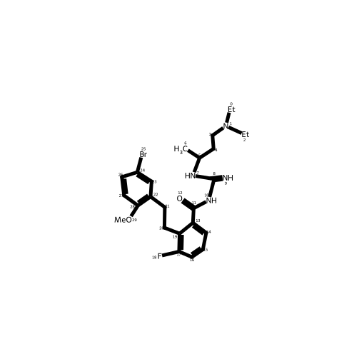 CCN(CC)CCC(C)NC(=N)NC(=O)c1cccc(F)c1CCc1cc(Br)ccc1OC